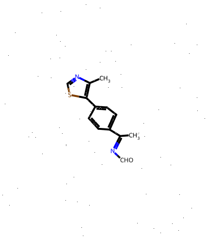 C/C(=N\C=O)c1ccc(-c2scnc2C)cc1